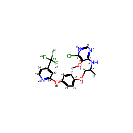 COc1c(Cl)ncnc1NC(C)COc1ccc(Oc2cc(C(F)(F)F)ccn2)cc1